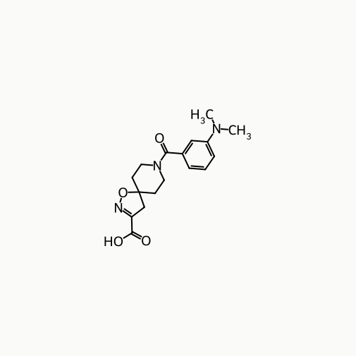 CN(C)c1cccc(C(=O)N2CCC3(CC2)CC(C(=O)O)=NO3)c1